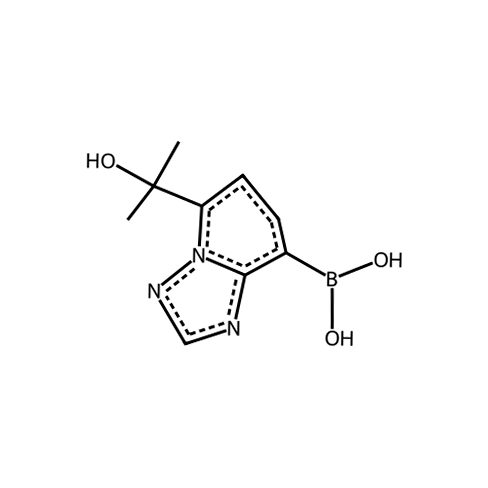 CC(C)(O)c1ccc(B(O)O)c2ncnn12